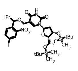 CC(C)C(OCc1cn([C@H]2C[C@@H](O[Si](C)(C)C(C)(C)C)[C@@H](CO[Si](C)(C)C(C)(C)C)O2)c(=O)[nH]c1=O)c1ccc(I)cc1[N+](=O)[O-]